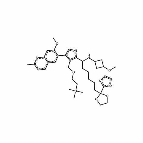 COc1cc2nc(C)ccc2cc1-c1cnc(C(CCCCCC2(c3ncco3)OCCO2)NC2CC(OC)C2)n1COCC[Si](C)(C)C